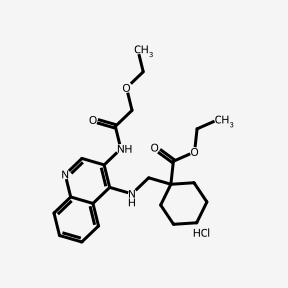 CCOCC(=O)Nc1cnc2ccccc2c1NCC1(C(=O)OCC)CCCCC1.Cl